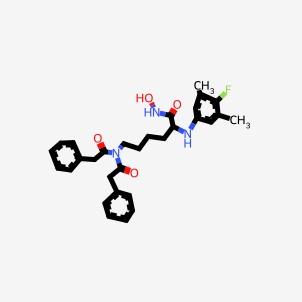 Cc1cc(NC(CCCCN(C(=O)Cc2ccccc2)C(=O)Cc2ccccc2)C(=O)NO)cc(C)c1F